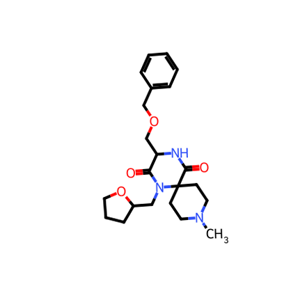 CN1CCC2(CC1)C(=O)NC(COCc1ccccc1)C(=O)N2CC1CCCO1